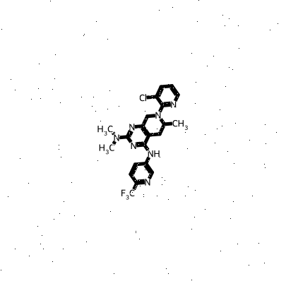 CC1Cc2c(nc(N(C)C)nc2Nc2ccc(C(F)(F)F)nc2)CN1c1ncccc1Cl